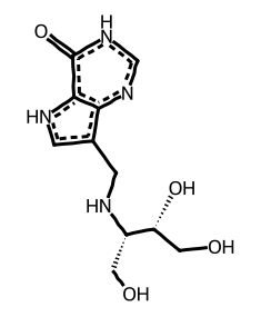 O=c1[nH]cnc2c(CN[C@@H](CO)[C@H](O)CO)c[nH]c12